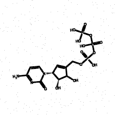 Nc1ccn([C@@H]2C=C(COP(=O)(O)OP(=O)(O)OP(=O)(O)O)C(O)[C@@H]2O)c(=O)n1